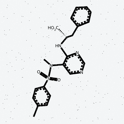 Cc1ccc(S(=O)(=O)N(C)c2cncnc2N[C@@H](Cc2ccccc2)C(=O)O)cc1